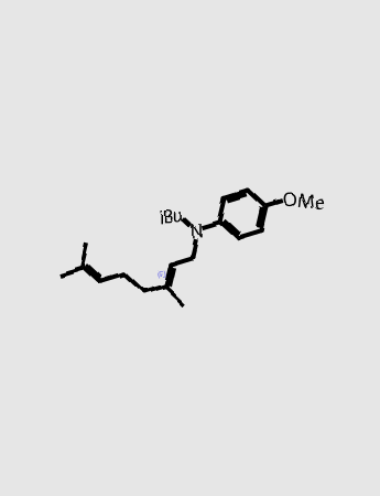 CCC(C)N(C/C=C(\C)CCC=C(C)C)c1ccc(OC)cc1